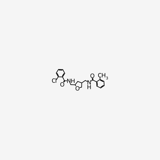 Cc1ccccc1C(=O)NCC1COC(CNC(=O)c2ccccc2Cl)C1